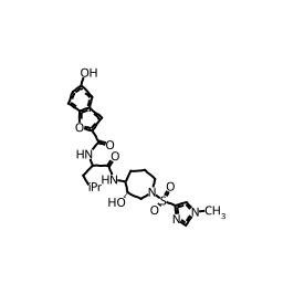 CC(C)CC(NC(=O)c1cc2cc(O)ccc2o1)C(=O)NC1CCCN(S(=O)(=O)c2cn(C)cn2)C[C@@H]1O